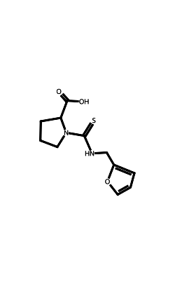 O=C(O)C1CCCN1C(=S)NCc1ccco1